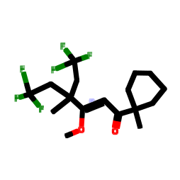 CO/C(=C\C(=O)C1(C)CCCCC1)C(C)(CC(F)(F)F)CC(F)(F)F